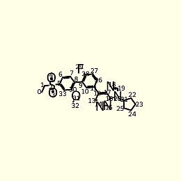 CCS(=O)(=O)c1ccc(-c2cc(-c3cnnc4c3ncn4C3CCCC3)ccc2F)c(OC)c1